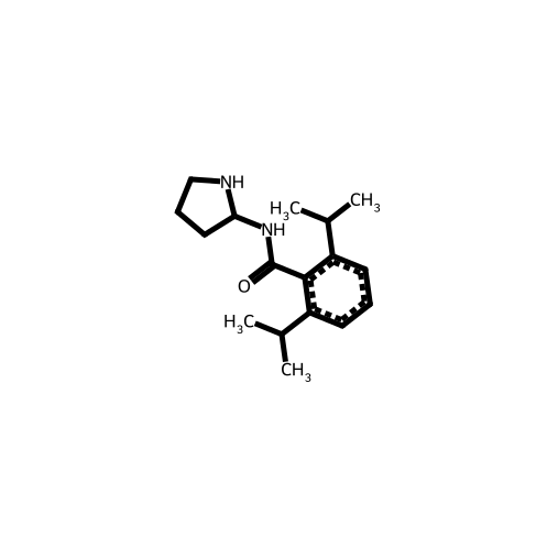 CC(C)c1cccc(C(C)C)c1C(=O)NC1CCCN1